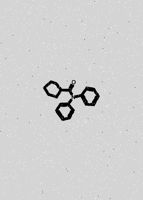 O=C(C1CCCCC1)N(c1ccccc1)c1ccccc1